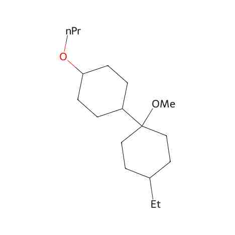 CCCOC1CCC(C2(OC)CCC(CC)CC2)CC1